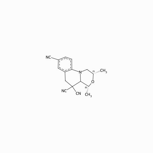 C[C@H]1CN2c3ccc(C#N)cc3CC(C#N)(C#N)C2[C@@H](C)O1